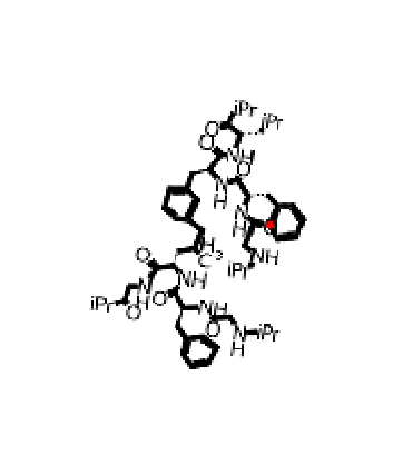 CC(C)C[C@H](NC(=O)[C@H](Cc1cccc(CC(C)C[C@H](NC(=O)[C@H](Cc2ccccc2)NC(=O)CNC(C)C)C(=O)NCC(=O)C(C)C)c1)NC(=O)[C@H](Cc1ccccc1)NC(=O)CNC(C)C)C(=O)C(C)C